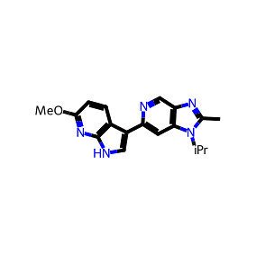 COc1ccc2c(-c3cc4c(cn3)nc(C)n4C(C)C)c[nH]c2n1